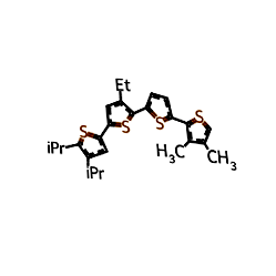 CCc1cc(-c2cc(C(C)C)c(C(C)C)s2)sc1-c1ccc(-c2scc(C)c2C)s1